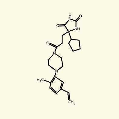 C=Cc1ccc(C)c(N2CCN(C(=O)CCC3(C4CCCC4)NC(=O)NC3=O)CC2)c1